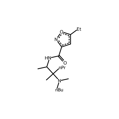 CCCCN(C)C(C)(CCC)C(C)NC(=O)c1cc(CC)on1